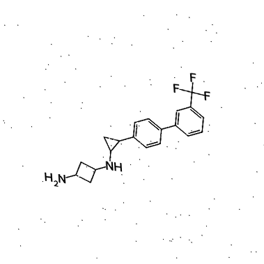 NC1CC(NC2CC2c2ccc(-c3cccc(C(F)(F)F)c3)cc2)C1